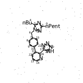 CCCCCc1nc(CCCC)n(Cc2ccc(-c3cccnc3-c3nnn[nH]3)cc2)n1